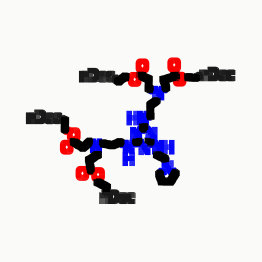 CCCCCCCCCCCCOC(=O)CCN(CCCNc1nc(NCCCN(CCC(=O)OCCCCCCCCCCCC)CCC(=O)OCCCCCCCCCCCC)nc(NCCN2CCCC2)n1)CCC(=O)OCCCCCCCCCCCC